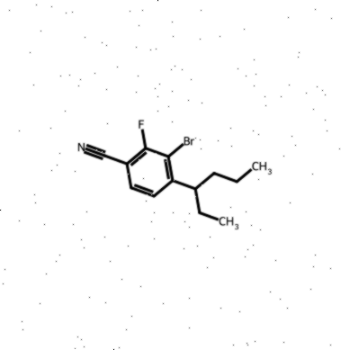 CCCC(CC)c1ccc(C#N)c(F)c1Br